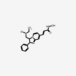 CCN(CC1C(c2ccccc2)N=C2C=C(/C=C/C(=O)NO)C=CN21)CC(F)(F)F